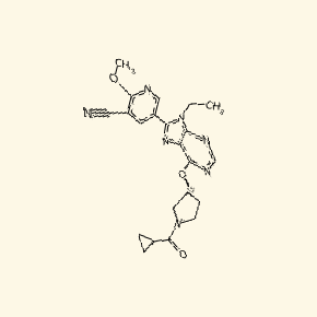 CCn1c(-c2cnc(OC)c(C#N)c2)nc2c(O[C@H]3CCN(C(=O)C4CC4)C3)ncnc21